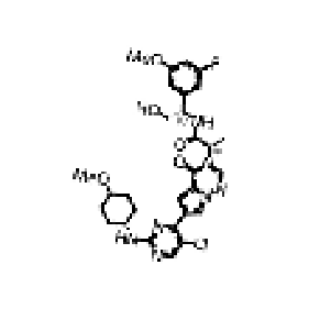 COc1cc(F)cc([C@@H](CO)NC(=O)[C@@H](C)n2cnn3cc(-c4nc(N[C@H]5CC[C@H](OC)CC5)ncc4Cl)cc3c2=O)c1